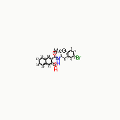 COc1ccc(Br)cc1CCNC(=O)c1cc2ccccc2cc1O